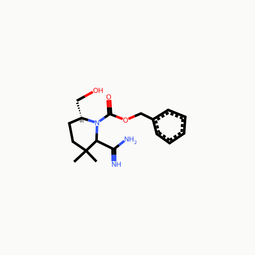 CC1(C)CC[C@H](CO)N(C(=O)OCc2ccccc2)C1C(=N)N